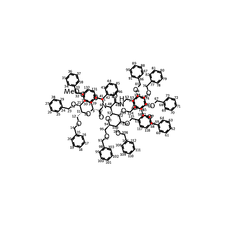 COc1ccc(CN(C(=O)[C@@H]2O[C@H](COCc3ccccc3)[C@@H](OCc3ccccc3)[C@H](OCc3ccccc3)[C@H]2OCc2ccccc2)C(C(=O)NC[C@@H]2O[C@H](COCc3ccccc3)[C@@H](OCc3ccccc3)[C@H](OCc3ccccc3)[C@H]2OCc2ccccc2)[C@@H]2O[C@H](COCc3ccccc3)[C@@H](OCc3ccccc3)[C@H](OCc3ccccc3)[C@H]2OCc2ccccc2)cc1